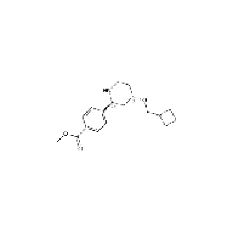 COC(=O)c1ccc([C@@H]2C[C@@H](OCC3CCC3)CCN2)cc1